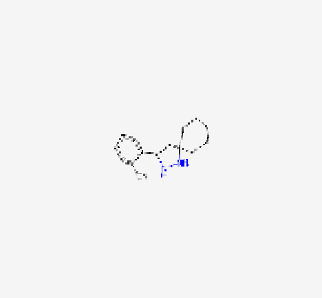 N#Cc1ccccc1C1CC2(CCCCC2)NN1